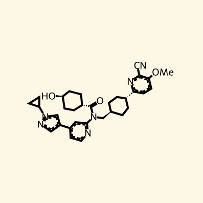 COc1ccc([C@H]2CC[C@H](CN(c3cc(-c4cnn(C5CC5)c4)ccn3)C(=O)[C@H]3CC[C@H](O)CC3)CC2)nc1C#N